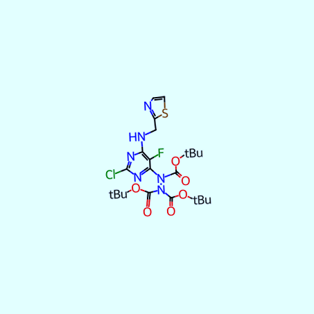 CC(C)(C)OC(=O)N(C(=O)OC(C)(C)C)N(C(=O)OC(C)(C)C)c1nc(Cl)nc(NCc2nccs2)c1F